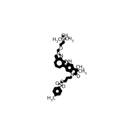 Cc1ccc(S(=O)(=O)OCCCN2C(=O)C(C)(C)c3cc4[nH]c5c(c4cc32)CCCc2cn(COCC[Si](C)(C)C)nc2-5)cc1